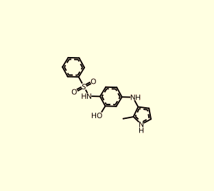 Cc1[nH]ccc1Nc1ccc(NS(=O)(=O)c2ccccc2)c(O)c1